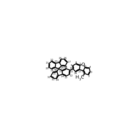 Cc1cccc2oc3ccc(-c4ccc5c(c4)C4(c6ccccc6-c6ccccc64)c4ccccc4-5)cc3c12